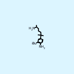 CCC(C)c1cc(C(C)(C)CCCC(C)N)ccc1N